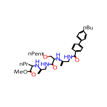 C=C(CNC(=O)c1ccc(-c2ccc(CCCC)cc2)cc1)NC(COCCCCC)C(=O)NCC(=C)NC(CCC)C(=O)OC